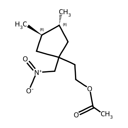 CC(=O)OCCC1(C[N+](=O)[O-])C[C@@H](C)[C@H](C)C1